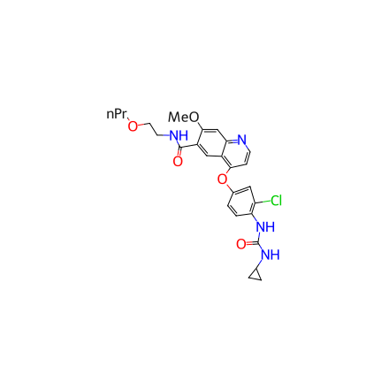 CCCOCCNC(=O)c1cc2c(Oc3ccc(NC(=O)NC4CC4)c(Cl)c3)ccnc2cc1OC